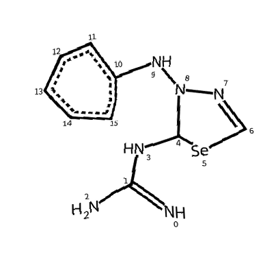 N=C(N)NC1[Se]C=NN1Nc1ccccc1